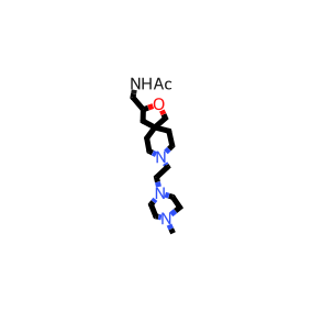 CC(=O)NCC1CC2(CCN(CCN3CCN(C)CC3)CC2)CO1